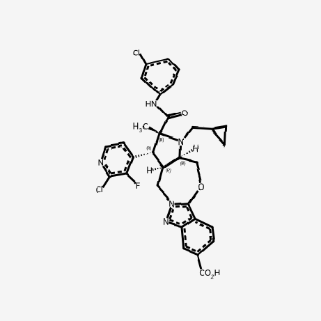 C[C@]1(C(=O)Nc2cccc(Cl)c2)[C@@H](c2ccnc(Cl)c2F)[C@@H]2Cn3nc4cc(C(=O)O)ccc4c3OC[C@@H]2N1CC1CC1